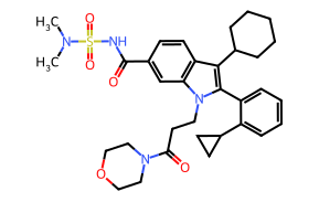 CN(C)S(=O)(=O)NC(=O)c1ccc2c(C3CCCCC3)c(-c3ccccc3C3CC3)n(CCC(=O)N3CCOCC3)c2c1